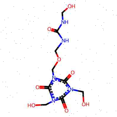 O=C(NCO)NCOCn1c(=O)n(CO)c(=O)n(CO)c1=O